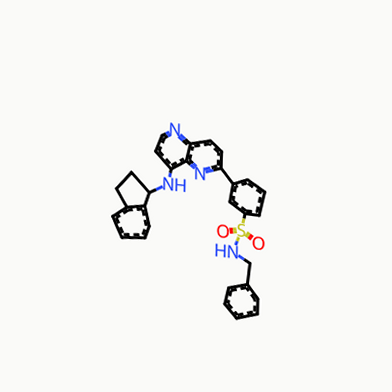 O=S(=O)(NCc1ccccc1)c1cccc(-c2ccc3nccc(NC4CCc5ccccc54)c3n2)c1